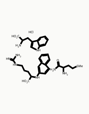 CSCCC(N)C(N)=O.Cl.N=C(N)NCCCC(Nc1ccc2ccccc2c1)C(=O)O.NC(Cc1c[nH]c2ccccc12)C(=O)O